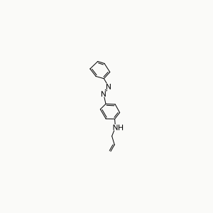 C=CCNc1ccc(N=Nc2ccccc2)cc1